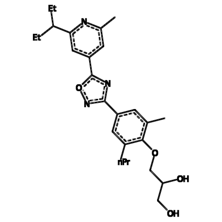 CCCc1cc(-c2noc(-c3cc(C)nc(C(CC)CC)c3)n2)cc(C)c1OCC(O)CO